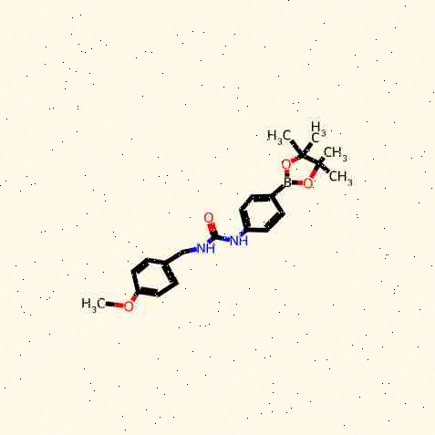 COc1ccc(CNC(=O)Nc2ccc(B3OC(C)(C)C(C)(C)O3)cc2)cc1